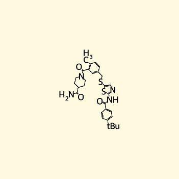 Cc1ccc(CSc2cnc(NC(=O)c3ccc(C(C)(C)C)cc3)s2)cc1C(=O)N1CCC(C(N)=O)CC1